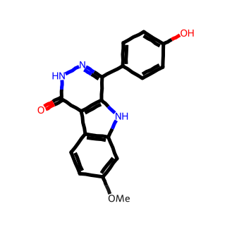 COc1ccc2c(c1)[nH]c1c(-c3ccc(O)cc3)n[nH]c(=O)c12